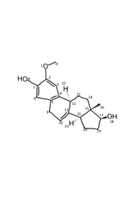 COc1cc2c(cc1O)CC=C1[C@@H]2CC[C@]2(C)[C@@H](O)CC[C@@H]12